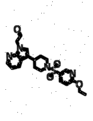 CCOc1ccc(S(=O)(=O)N2CCC(c3cn(CC=O)c4ncccc34)CC2)cn1